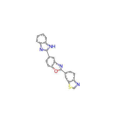 c1ccc2[nH]c(-c3ccc4oc(-c5ccc6ncsc6c5)nc4c3)nc2c1